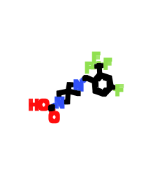 O=C(O)N1CC2(CN(Cc3ccc(F)cc3C(F)(F)F)C2)C1